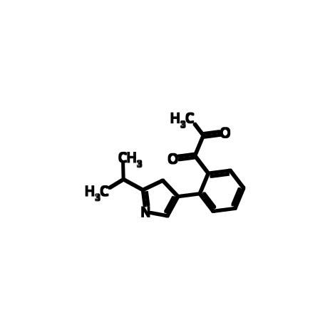 CC(=O)C(=O)c1ccccc1C1=CN=C(C(C)C)C1